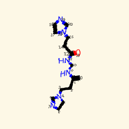 C=C(CCn1ccnc1)NCNC(=O)CCn1ccnc1